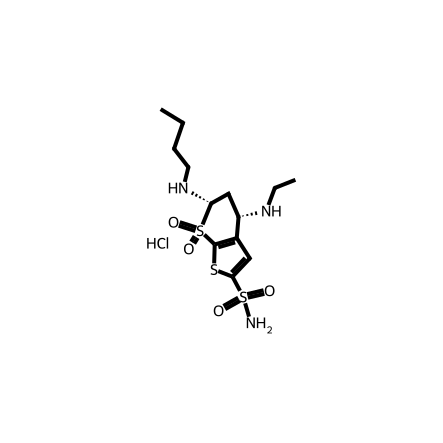 CCCCN[C@@H]1C[C@H](NCC)c2cc(S(N)(=O)=O)sc2S1(=O)=O.Cl